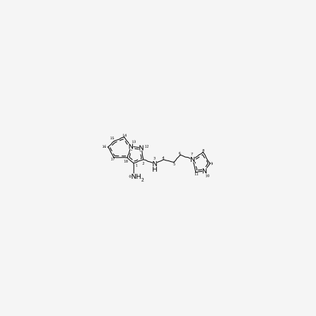 Nc1c(NCCCn2ccnc2)nn2ccccc12